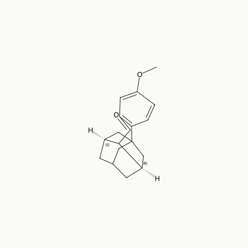 COc1ccc(C23CC4C[C@H](C2)C(C=O)[C@@H](C4)C3)cc1